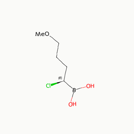 COCCC[C@H](Cl)B(O)O